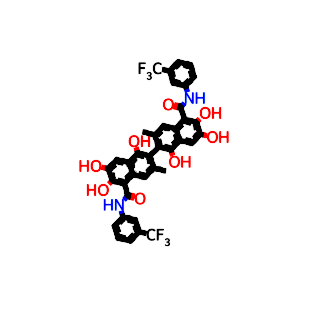 Cc1cc2c(C(=O)Nc3cccc(C(F)(F)F)c3)c(O)c(O)cc2c(O)c1-c1c(C)cc2c(C(=O)Nc3cccc(C(F)(F)F)c3)c(O)c(O)cc2c1O